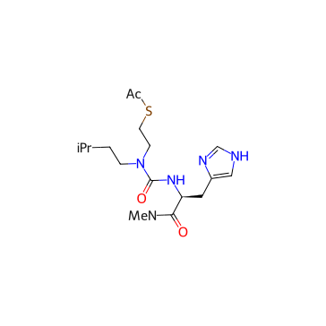 CNC(=O)[C@H](Cc1c[nH]cn1)NC(=O)N(CCSC(C)=O)CCC(C)C